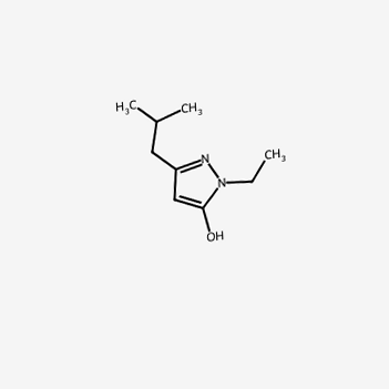 CCn1nc(CC(C)C)cc1O